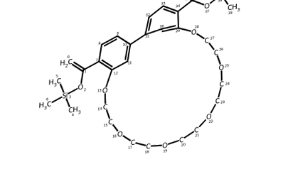 C=C(O[Si](C)(C)C)c1ccc2cc1OCCOCCOCCOCCOCCOc1cc-2ccc1C(=C)O[Si](C)(C)C